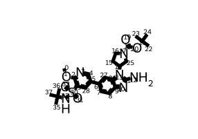 COc1ncc(-c2ccc3nc(N)n(C4CCN(C(=O)OC(C)(C)C)C4)c3c2)cc1S(=O)(=O)NC(C)(C)C